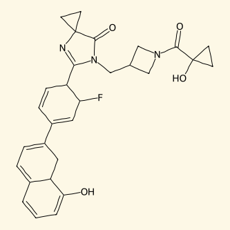 O=C(N1CC(CN2C(=O)C3(CC3)N=C2C2C=CC(C3=CC=C4C=CC=C(O)C4C3)=CC2F)C1)C1(O)CC1